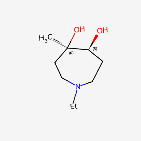 CCN1CC[C@H](O)[C@](C)(O)CC1